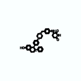 O=C1CCC(Nc2ccc(CN3CCN(c4ccc([C@@H]5c6ccc(O)cc6CC[C@@H]5c5ccccc5)cc4)CC3)cc2)C(=O)N1